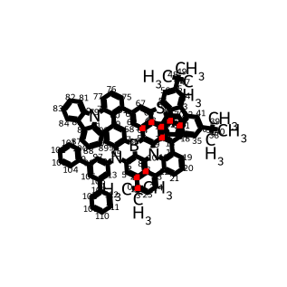 CC(C)(C)c1cc2c3c(c1)N(c1c(-c4ccccc4)cccc1-c1ccccc1)c1cc(-n4c5ccc(C(C)(C)C)cc5c5cc(C(C)(C)C)ccc54)ccc1B3c1cc(-c3c(-c4ccc5c(c4)sc4ccccc45)cccc3-n3c4ccccc4c4ccccc43)ccc1N2c1cc(-c2ccccc2)cc(-c2ccccc2)c1